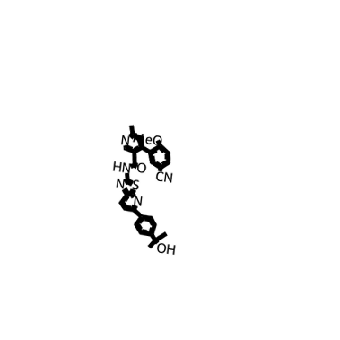 COc1ccc(C#N)cc1-c1cc(C)ncc1C(=O)Nc1nc2ccc(-c3ccc(C(C)(C)O)cc3)nc2s1